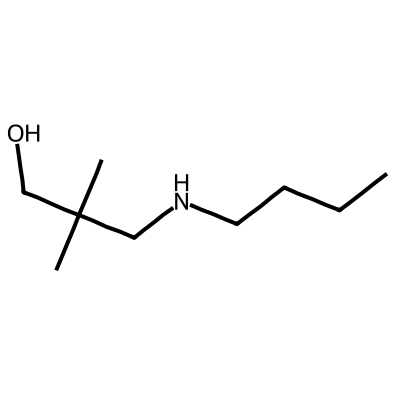 CCCCNCC(C)(C)CO